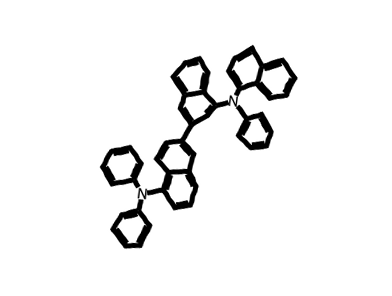 c1ccc(N(c2ccccc2)c2cccc3cc(-c4cc(N(c5ccccc5)c5cccc6ccccc56)c5ccccc5c4)ccc23)cc1